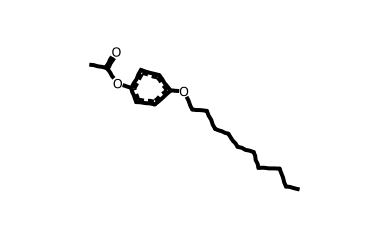 CCCCCCCCCCOc1ccc(OC(C)=O)cc1